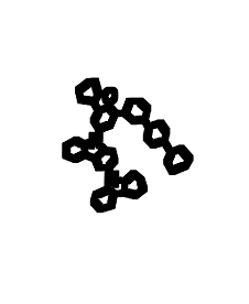 c1ccc(-c2ccc(-c3cccc(-c4cc(-n5c6ccccc6c6cc(-n7c8ccccc8c8ccccc87)ccc65)cc5c4oc4ccccc45)c3)cc2)cc1